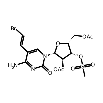 CC(=O)OC[C@H]1O[C@@H](n2cc(C=CBr)c(N)nc2=O)[C@H](OC(C)=O)[C@H]1OS(C)(=O)=O